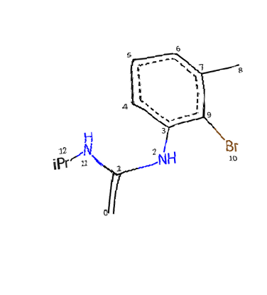 C=C(Nc1cccc(C)c1Br)NC(C)C